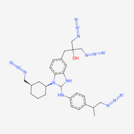 CC(CN=[N+]=[N-])c1ccc(NC2Nc3cc(CC(O)(CN=[N+]=[N-])CN=[N+]=[N-])ccc3N2[C@H]2CCC[C@@H](CN=[N+]=[N-])C2)cc1